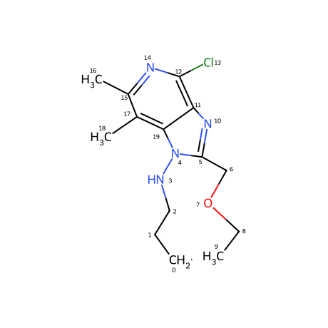 [CH2]CCNn1c(COCC)nc2c(Cl)nc(C)c(C)c21